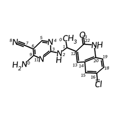 CC(Nc1ncc(C#N)c(N)n1)c1cc2cc(Cl)ccc2[nH]c1=O